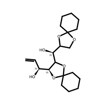 C=C[C@H](O)[C@@H]1OC2(CCCCC2)OC1[C@@H](O)C1COC2(CCCCC2)O1